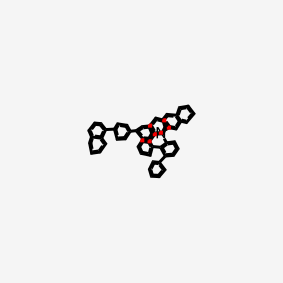 c1ccc(-c2ccccc2-c2c(-c3ccccc3)cccc2N(c2ccc(-c3ccc(-c4cccc5ccccc45)cc3)cc2)c2ccc3ccccc3c2)cc1